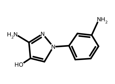 Nc1cccc(-n2cc(O)c(N)n2)c1